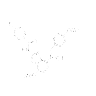 COc1ccc(CN(C)c2ccc(OC)c3nc(NC(=O)c4ccc(F)cc4)sc23)cc1